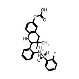 CC1(C)Cc2cc(OC(=O)O)ccc2NC1c1ccccc1NS(=O)(=O)c1ccccc1F